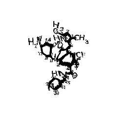 Cc1cc(C)c(/C=C2\C(=O)N(CC3CCC(N)CC3)c3cc(C(=O)NCc4ccncc4)c(F)cc32)[nH]1.Cl